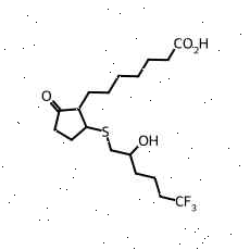 O=C(O)CCCCCCC1C(=O)CCC1SCC(O)CCCC(F)(F)F